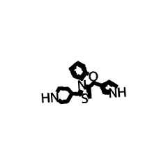 c1ccc(OC(c2cc[nH]c2)c2csc(C3CCNCC3)n2)cc1